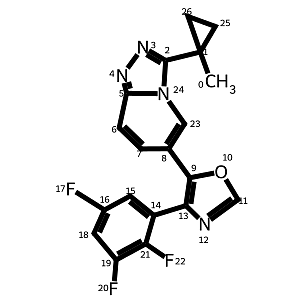 CC1(c2nnc3ccc(-c4ocnc4-c4cc(F)cc(F)c4F)cn23)CC1